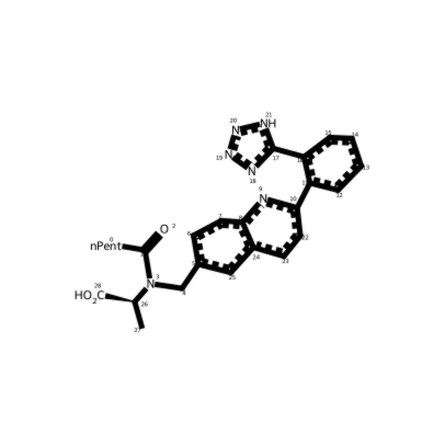 CCCCCC(=O)N(Cc1ccc2nc(-c3ccccc3-c3nnn[nH]3)ccc2c1)[C@@H](C)C(=O)O